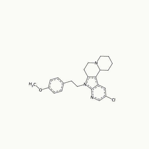 COc1ccc(CCn2c3c(c4cc(Cl)cnc42)C2CCCCN2CC3)cc1